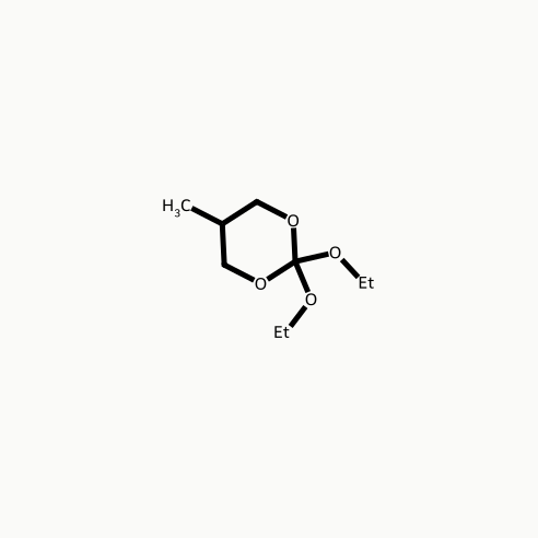 CCOC1(OCC)OCC(C)CO1